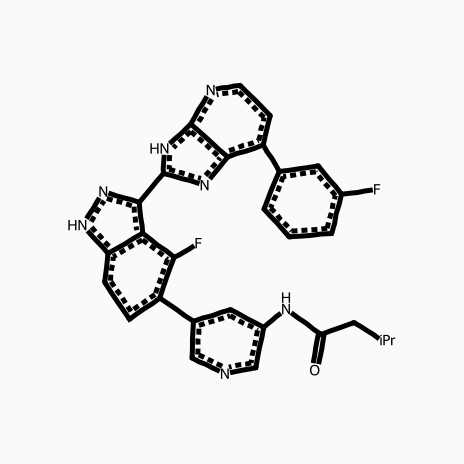 CC(C)CC(=O)Nc1cncc(-c2ccc3[nH]nc(-c4nc5c(-c6cccc(F)c6)ccnc5[nH]4)c3c2F)c1